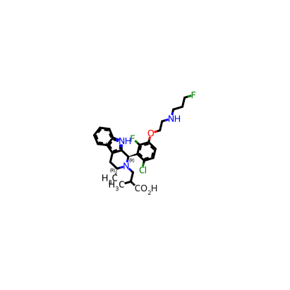 CC(CN1[C@H](c2c(Cl)ccc(OCCNCCCF)c2F)c2[nH]c3ccccc3c2C[C@H]1C)C(=O)O